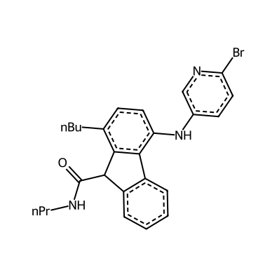 CCCCc1ccc(Nc2ccc(Br)nc2)c2c1C(C(=O)NCCC)c1ccccc1-2